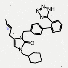 C/C=C/Cc1cn(CC2CCCCC2)c(=O)n1Cc1ccc(-c2ccccc2-c2nnn[nH]2)cc1